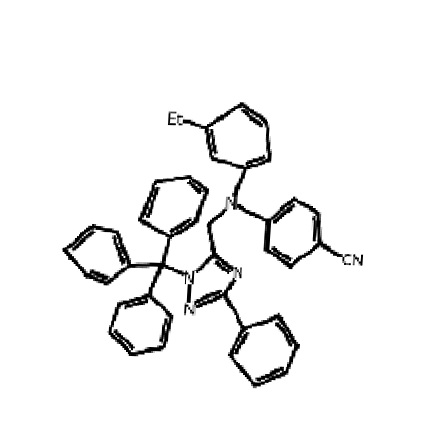 CCc1cccc(N(Cc2nc(-c3ccccc3)nn2C(c2ccccc2)(c2ccccc2)c2ccccc2)c2ccc(C#N)cc2)c1